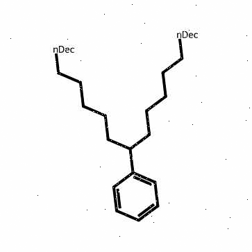 CCCCCCCCCCCCCCCC(CCCCCCCCCCCCCCC)c1ccccc1